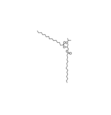 CCCCCCCCCCCCCCC(=O)OCC(COC(C)C)OC(=O)CCCCCCCCCCCCCC